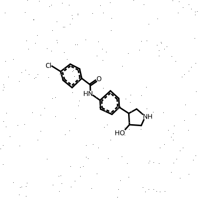 O=C(Nc1ccc(C2CNCC2O)cc1)c1ccc(Cl)cc1